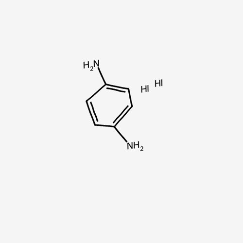 I.I.Nc1ccc(N)cc1